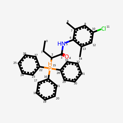 CCC(C(=O)Nc1c(C)cc(Cl)cc1C)[PH](c1ccccc1)(c1ccccc1)c1ccccc1